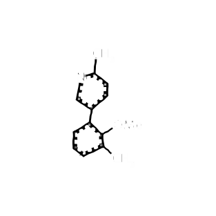 COc1c(C)[c]ccc1-c1ccc(C)nc1